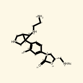 CC(=O)NC[C@H]1CN(c2ccc(C34CNCC3C4NCCN)c(F)c2)C(=O)O1